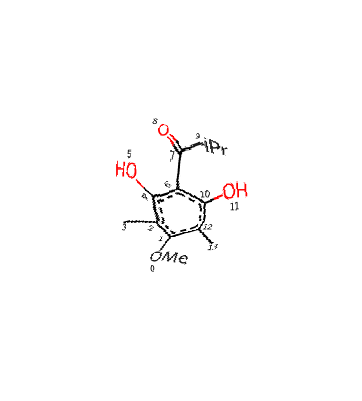 COc1c(C)c(O)c(C(=O)C(C)C)c(O)c1C